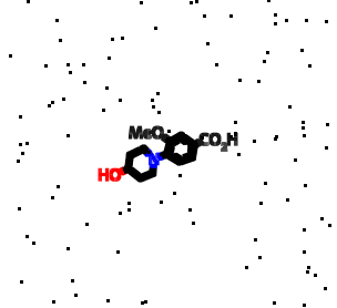 COc1cc(C(=O)O)ccc1N1CCC(O)CC1